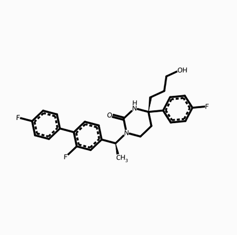 C[C@@H](c1ccc(-c2ccc(F)cc2)c(F)c1)N1CC[C@@](CCCO)(c2ccc(F)cc2)NC1=O